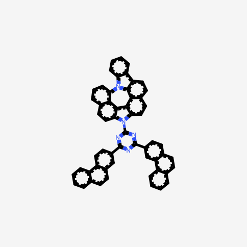 c1ccc2c(c1)ccc1cc(-c3nc(-c4ccc5ccc6ccccc6c5c4)nc(-n4c5ccc6cccc7c6c5c5c6c(ccc8c9ccccc9n7c86)ccc54)n3)ccc12